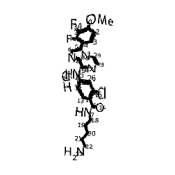 COc1ccc(-c2cnc3c(Nc4ccc(C(=O)NCCCCCN)c(Cl)c4)nccn23)c(F)c1F.Cl